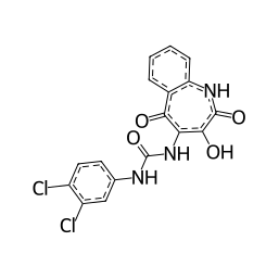 O=C(Nc1ccc(Cl)c(Cl)c1)Nc1c(O)c(=O)[nH]c2ccccc2c1=O